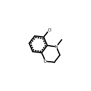 CN1CCOc2cccc(Cl)c21